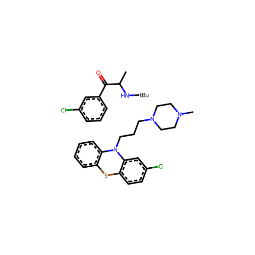 CC(NC(C)(C)C)C(=O)c1cccc(Cl)c1.CN1CCN(CCCN2c3ccccc3Sc3ccc(Cl)cc32)CC1